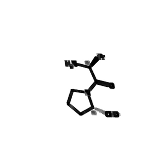 CC(C)[C@H](N)C(=O)N1CCC[C@H]1[C]=O